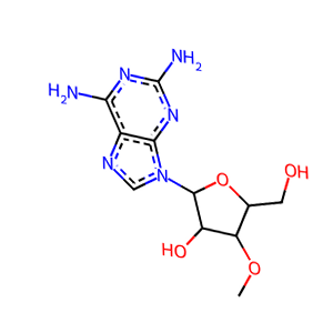 COC1C(CO)OC(n2cnc3c(N)nc(N)nc32)C1O